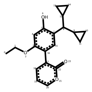 CCOc1cc(O)c(C(C2CC2)C2CC2)cc1-c1cccoc1=O